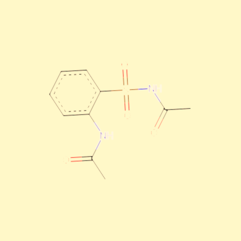 CC(=O)Nc1ccccc1S(=O)(=O)NC(C)=O